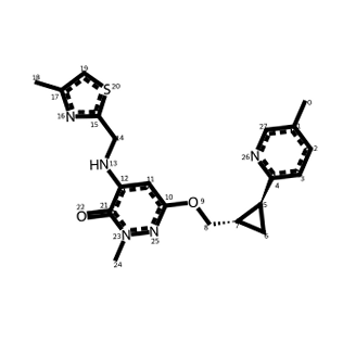 Cc1ccc([C@H]2C[C@@H]2COc2cc(NCc3nc(C)cs3)c(=O)n(C)n2)nc1